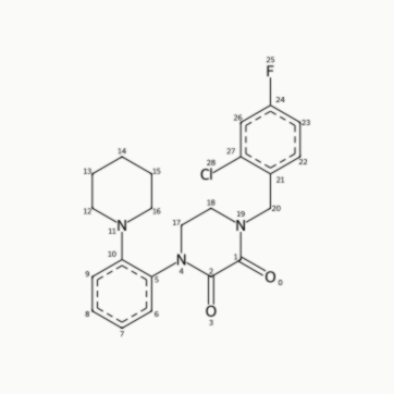 O=C1C(=O)N(c2ccccc2N2CCCCC2)CCN1Cc1ccc(F)cc1Cl